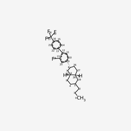 CCCC1CC[C@@H]2C[C@H](c3ccc(-c4ccc(C(F)(F)F)cc4)c(F)c3)CC[C@@H]2C1